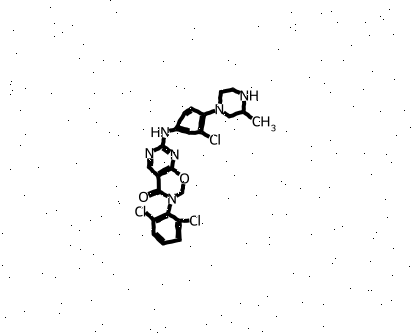 CC1CN(c2ccc(Nc3ncc4c(n3)OCN(c3c(Cl)cccc3Cl)C4=O)cc2Cl)CCN1